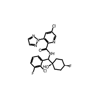 O=C(NC(c1cccc(F)c1Cl)[C@]1(O)CC[C@@H](F)CC1)c1ncc(Cl)cc1-n1nccn1